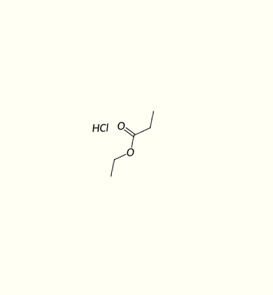 CCOC(=O)CC.Cl